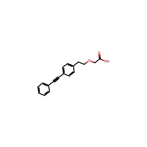 O=C(O)COCCc1ccc(C#Cc2ccccc2)cc1